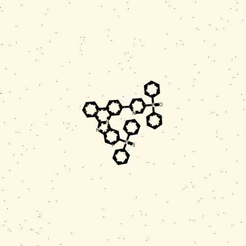 O=P(c1ccccc1)(c1ccccc1)c1ccc(-c2ccc3c4ccccc4c4nc5ccc(P(=S)(c6ccccc6)c6ccccc6)cc5n4c3c2)nc1